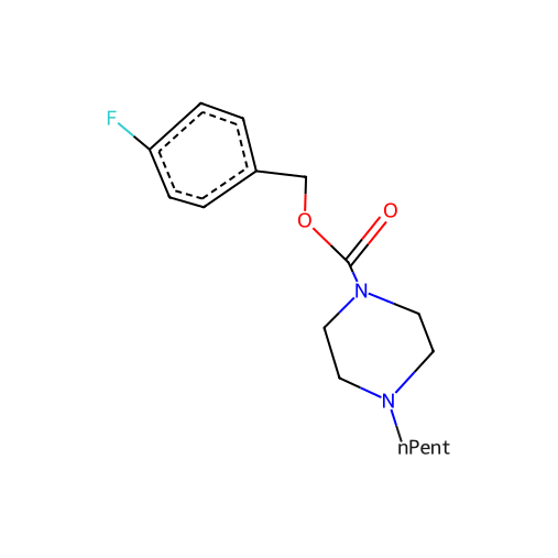 [CH2]CCCCN1CCN(C(=O)OCc2ccc(F)cc2)CC1